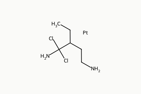 CCC(CCN)C(N)(Cl)Cl.[Pt]